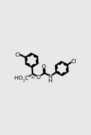 O=C(Nc1ccc(Cl)cc1)O[C@@H](C(=O)O)c1cccc(Cl)c1